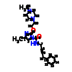 Cc1cn(C(=O)NCC#CCc2ccccc2)c(OCCN2CCN(C)CC2)n1